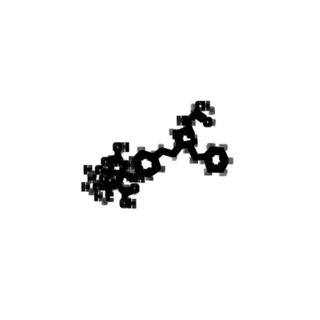 CC(=O)Nc1nc(CCc2ccc(NC(NC(=O)O)(N(C(=O)O)C(C)(C)C)C(C)(C)C)cc2)c(Cc2ccccc2)s1